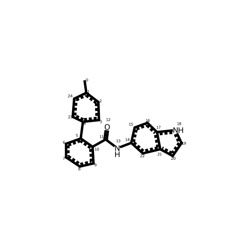 Cc1ccc(-c2ccccc2C(=O)Nc2ccc3[nH]ccc3c2)cc1